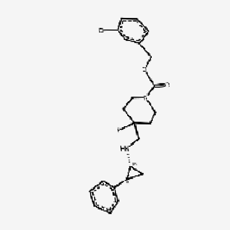 O=C(OCc1cccc(Cl)c1)N1CCC(F)(CN[C@@H]2C[C@H]2c2ccccc2)CC1